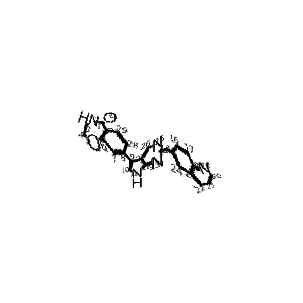 O=C1NCCOc2cc(-c3c[nH]c4nc(-c5ccc6ncccc6c5)ncc34)ccc21